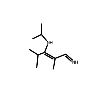 C/C(C=N)=C(/NC(C)C)C(C)C